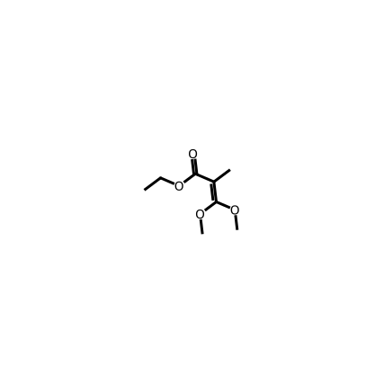 CCOC(=O)C(C)=C(OC)OC